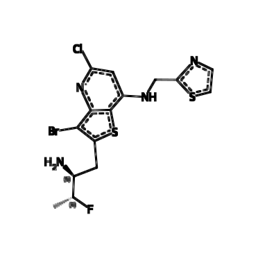 C[C@@H](F)[C@@H](N)Cc1sc2c(NCc3nccs3)cc(Cl)nc2c1Br